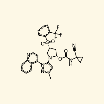 Cc1cc(N2C[C@H](S(=O)(=O)c3ccccc3C(F)(F)F)C[C@@H]2OC(=O)NC2(C#N)CC2)n(-c2ccnc3ccccc23)n1